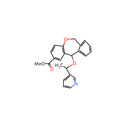 COC(=O)c1ccc2c(c1)C(OC(C)c1cccnc1)c1ccccc1CO2